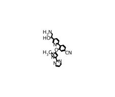 Cn1nc(-c2ncccn2)cc1Oc1cc(C#N)ccc1-c1ccc([C@H](O)CN)cn1